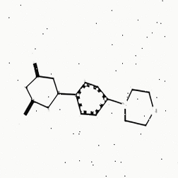 O=C1CC(=O)CC(c2ccc(N3CCNCC3)cc2)C1